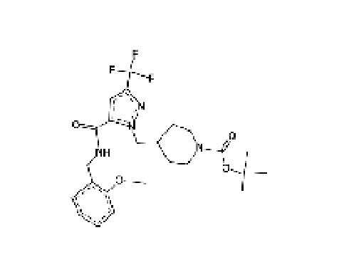 COc1ccccc1CNC(=O)c1cc(C(F)(F)F)nn1CC1CCN(C(=O)OC(C)(C)C)CC1